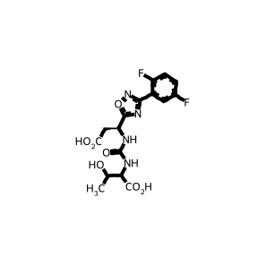 CC(O)C(NC(=O)N[C@@H](CC(=O)O)c1nc(-c2cc(F)ccc2F)no1)C(=O)O